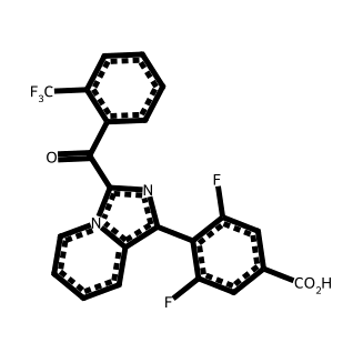 O=C(O)c1cc(F)c(-c2nc(C(=O)c3ccccc3C(F)(F)F)n3ccccc23)c(F)c1